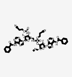 C=NC[C@H]1O[C@@H](n2cnc3c(NC(=O)c4ccccc4)ncnc32)[C@H](F)[C@@H]1OP(=O)(NC[C@H]1O[C@@H](n2cnc3c(NC(=O)c4ccccc4)ncnc32)[C@H](F)[C@@H]1O[PH](=O)OCCC#N)OCCC#N